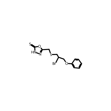 S=c1[nH]nc(CSCC(Br)COc2ccccc2)o1